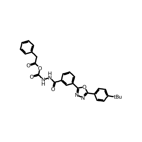 CC(C)(C)c1ccc(-c2nnc(-c3cccc(C(=O)NNC(=O)OC(=O)Cc4ccccc4)c3)o2)cc1